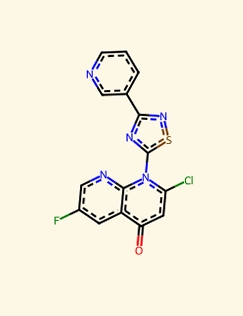 O=c1cc(Cl)n(-c2nc(-c3cccnc3)ns2)c2ncc(F)cc12